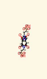 O=c1c2ccc(c(=O)n1CCS(=O)(=O)O)c1c3ccc(c(=O)n(CCS(=O)(=O)O)c3=O)c21